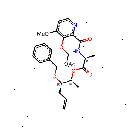 C=CC[C@@H](OCc1ccccc1)[C@H](C)OC(=O)[C@H](C)NC(=O)c1nccc(OC)c1OCOC(C)=O